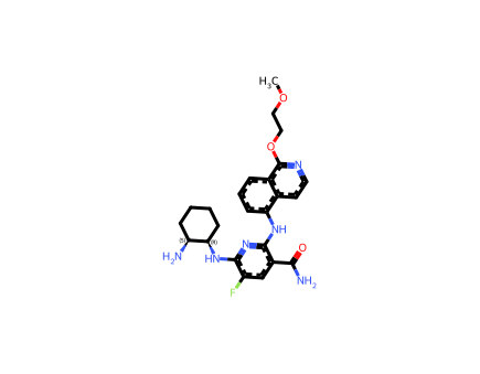 COCCOc1nccc2c(Nc3nc(N[C@@H]4CCCC[C@@H]4N)c(F)cc3C(N)=O)cccc12